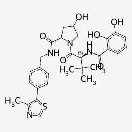 Cc1ncsc1-c1ccc(CNC(=O)C2CC(O)CN2C(=O)[C@@H](NC(=O)c2cccc(O)c2O)C(C)(C)C)cc1